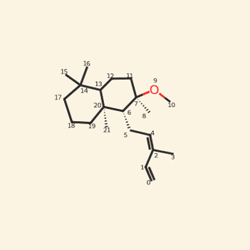 C=C/C(C)=C\C[C@H]1[C@](C)(OC)CCC2C(C)(C)CCC[C@@]21C